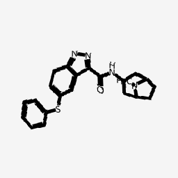 CN1C2CCC1CC(NC(=O)C1=NN=C3CC=C(Sc4ccccc4)C=C31)C2